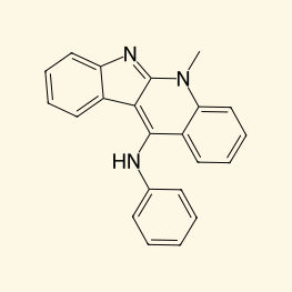 Cn1c2nc3ccccc3c-2c(Nc2ccccc2)c2ccccc21